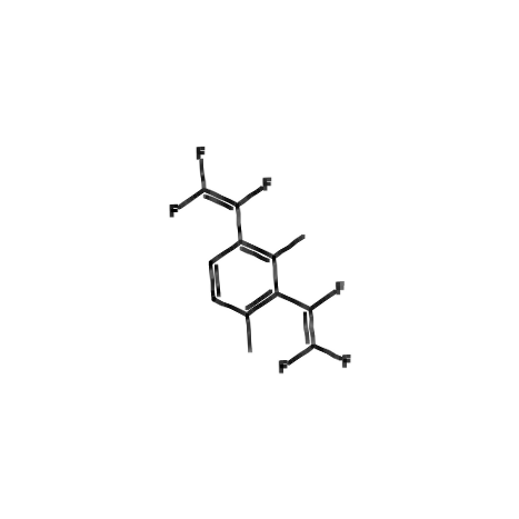 Cc1ccc(C(F)=C(F)F)c(C)c1C(F)=C(F)F